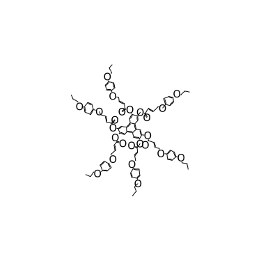 CCCOc1ccc(OC/C=C/C(=O)Oc2cc3c4cc(OC(=O)/C=C/COc5ccc(OCCC)cc5)c(OC(=O)/C=C/COc5ccc(OCCC)cc5)cc4c4cc(OC(=O)/C=C/COc5ccc(OCCC)cc5)c(OC(=O)/C=C/COc5ccc(OCCC)cc5)cc4c3cc2OC(=O)/C=C/COc2ccc(OCCC)cc2)cc1